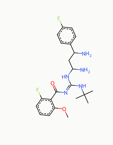 COc1cccc(F)c1C(=O)/N=C(\NC(N)CC(N)c1ccc(F)cc1)NC(C)(C)C